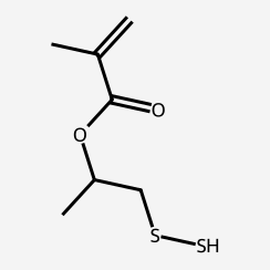 C=C(C)C(=O)OC(C)CSS